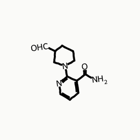 NC(=O)c1cccnc1N1CCCC(C=O)C1